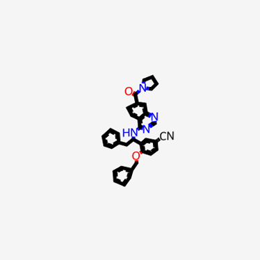 N#Cc1ccc(OCc2ccccc2)c(C(Cc2ccccc2)Nc2ncnc3cc(C(=O)N4CCCC4)ccc23)c1